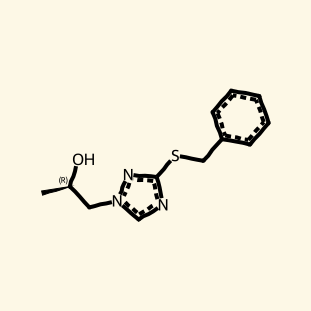 C[C@@H](O)Cn1cnc(SCc2ccccc2)n1